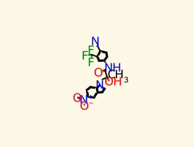 CC(O)(Cn1ccc2cc([N+](=O)[O-])ccc21)C(=O)Nc1ccc(C#N)c(C(F)(F)F)c1